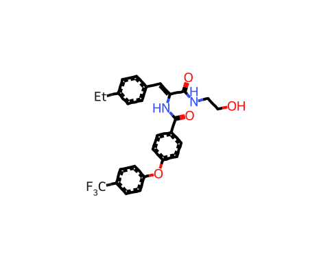 CCc1ccc(C=C(NC(=O)c2ccc(Oc3ccc(C(F)(F)F)cc3)cc2)C(=O)NCCO)cc1